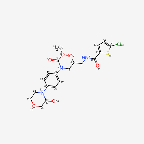 COC(=O)N(CC(O)CNC(=O)c1ccc(Cl)s1)c1ccc(N2CCOCC2=O)cc1